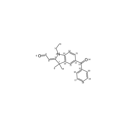 CCN1C(=CC=O)C(C)(C)c2cc(C(=O)c3ccccc3)ccc21